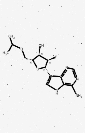 CC(C)OC[C@H]1O[C@@H](c2c[nH]c3c(N)ncnc23)[C@H](F)[C@@H]1O